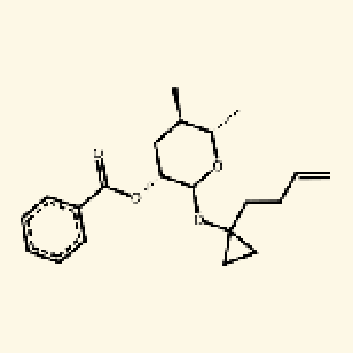 C=CCCC1(O[C@@H]2O[C@@H](C)[C@H](C)C[C@H]2OC(=O)c2ccccc2)CC1